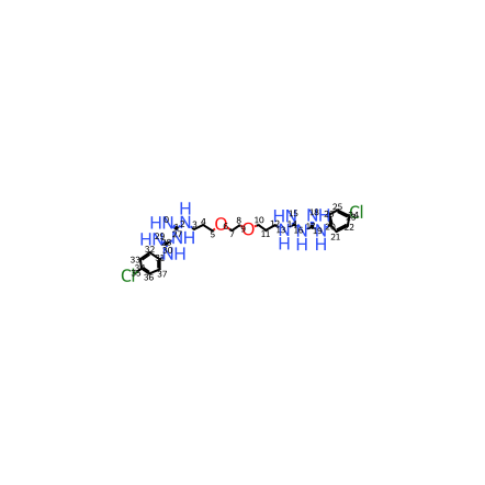 N=C(NCCCOCCOCCCNC(=N)NC(=N)Nc1ccc(Cl)cc1)NC(=N)Nc1ccc(Cl)cc1